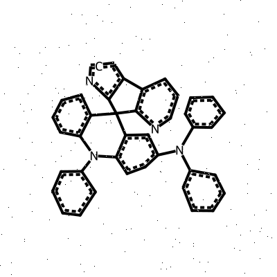 c1ccc(N(c2ccccc2)c2ccc3c(c2)C2(c4ccccc4N3c3ccccc3)c3ncccc3-c3cccnc32)cc1